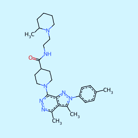 Cc1ccc(-n2nc3c(N4CCC(C(=O)NCCN5CCCCC5C)CC4)nnc(C)c3c2C)cc1